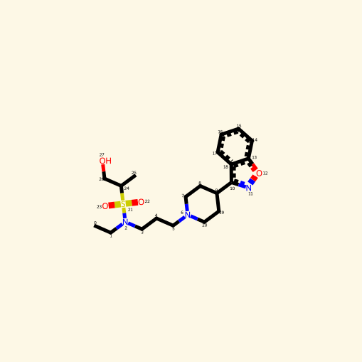 CCN(CCCN1CCC(c2noc3ccccc23)CC1)S(=O)(=O)C(C)CO